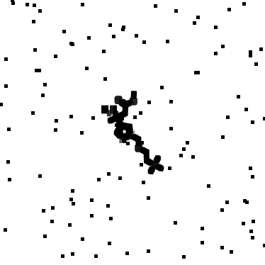 COC(=O)CC(C)(N)c1cnn(COCC[Si](C)(C)C)c1